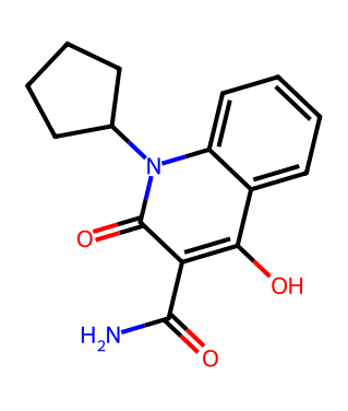 NC(=O)c1c(O)c2ccccc2n(C2CCCC2)c1=O